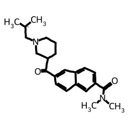 C[C](C)CN1CCCC(C(=O)c2ccc3cc(C(=O)N(C)C)ccc3c2)C1